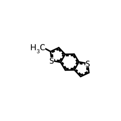 Cc1cc2cc3sccc3cc2s1